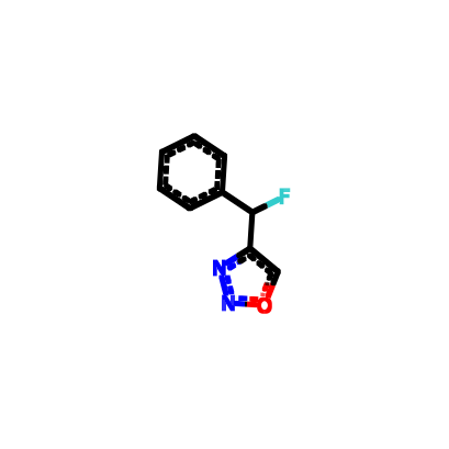 FC(c1ccccc1)c1conn1